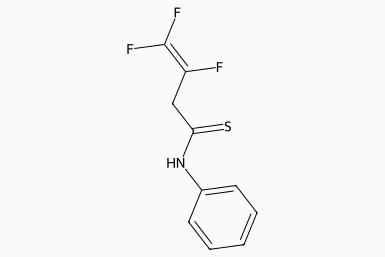 FC(F)=C(F)CC(=S)Nc1ccccc1